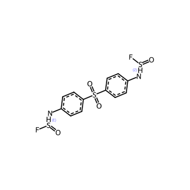 O=[SH](/F)=N/c1ccc(S(=O)(=O)c2ccc(/N=[SH](=O)/F)cc2)cc1